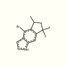 CC1CC(F)(F)c2cc3[nH]ncc3c(Br)c21